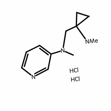 CNC1(CN(C)c2cccnc2)CC1.Cl.Cl